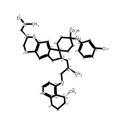 CCN(C)C[C@@H]1COc2cc3c(cc2O1)C1(CCC(Nc2cccc(Cl)c2)(C(=O)O)CC1)[C@@H](C[C@@H](C)COc1ccnc2c1[C@H](C)CCC2)C3